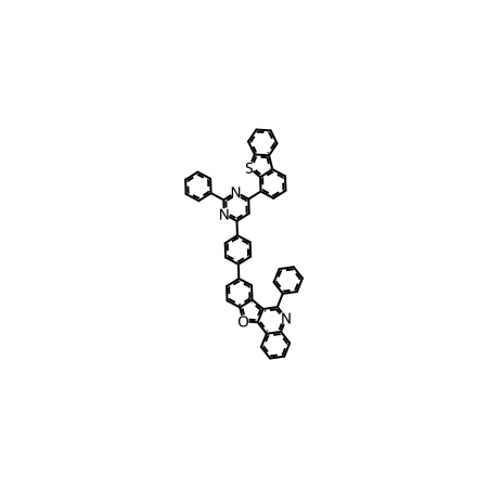 c1ccc(-c2nc(-c3ccc(-c4ccc5oc6c7ccccc7nc(-c7ccccc7)c6c5c4)cc3)cc(-c3cccc4c3sc3ccccc34)n2)cc1